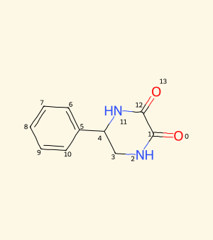 O=C1NCC(c2ccccc2)NC1=O